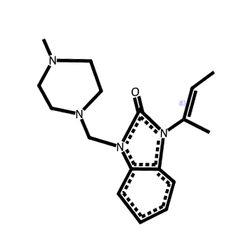 C/C=C(\C)n1c(=O)n(CN2CCN(C)CC2)c2ccccc21